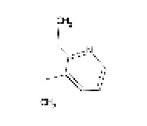 [CH2]Cc1ncccc1CC